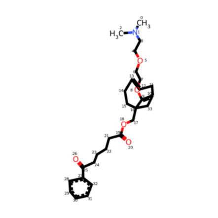 CN(C)CCOCCOC1=C2C/C=C/CCC1(COC(=O)CCCCC(=O)c1ccccc1)C2